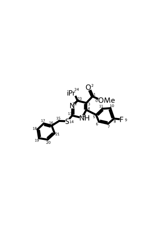 COC(=O)C1=C(c2ccc(F)cc2)NC(SCc2ccccc2)=NC1C(C)C